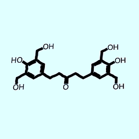 O=C(CCc1cc(CO)c(O)c(CO)c1)CCc1cc(CO)c(O)c(CO)c1